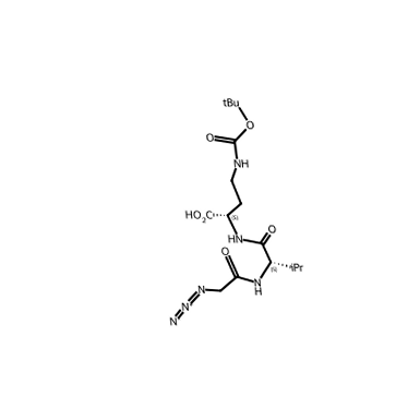 CC(C)[C@H](NC(=O)CN=[N+]=[N-])C(=O)N[C@@H](CCNC(=O)OC(C)(C)C)C(=O)O